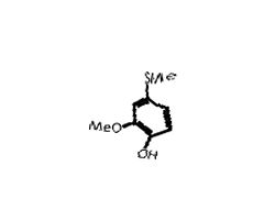 COc1cc(SC)ccc1O